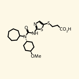 CO[C@H]1CC[C@H](N(C(=O)Nc2ncc(SCCC(=O)O)s2)C2CCCCCC2)CC1